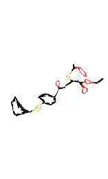 CCOC(=O)C(CC(=O)c1ccc(Sc2ccccc2)cc1)SC(C)=O